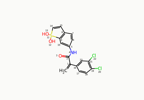 C=C(C(=O)Nc1ccc2c(c1)S(O)(O)C=C2)c1ccc(Cl)c(Cl)c1